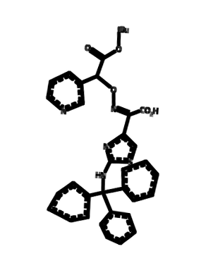 CC(C)(C)OC(=O)C(ON=C(C(=O)O)c1csc(NC(c2ccccc2)(c2ccccc2)c2ccccc2)n1)c1cccnc1